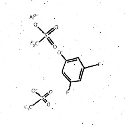 O=S(=O)([O-])C(F)(F)F.O=S(=O)([O-])C(F)(F)F.[Al+3].[O-]c1cc(F)cc(F)c1